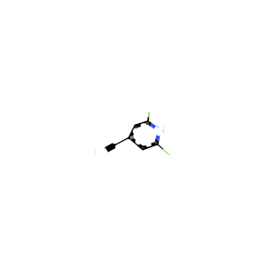 C#Cc1cc(F)nc(F)c1